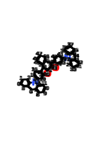 c1ccc2c(c1)Cc1ccccc1N2c1ccc2c(c1)oc1c3oc4cc(N5c6ccccc6Cc6ccccc65)ccc4c3c3ccccc3c21